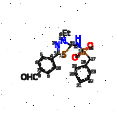 CCN1N=C(c2ccc(C=O)cc2)SC1NS(=O)(=O)Cc1ccccc1